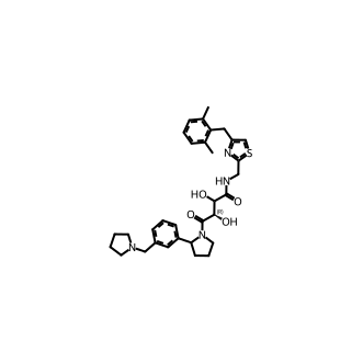 Cc1cccc(C)c1Cc1csc(CNC(=O)C(O)[C@@H](O)C(=O)N2CCCC2c2cccc(CN3CCCC3)c2)n1